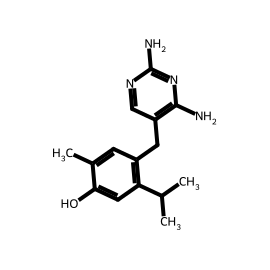 Cc1cc(Cc2cnc(N)nc2N)c(C(C)C)cc1O